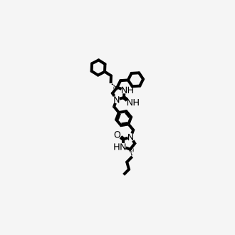 CCCC[C@H]1CN(Cc2ccc(CN3C[C@@](CCC4CCCCC4)(CC4CCCCC4)NC3=N)cc2)C(=O)N1